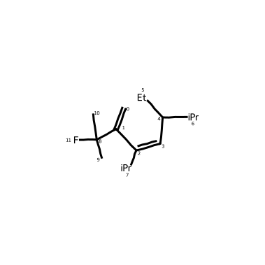 C=C(/C(=C\C(CC)C(C)C)C(C)C)C(C)(C)F